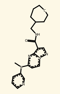 CN(c1cccnc1)c1ccn2ncc(C(=O)NCC3CCCCCC3)c2n1